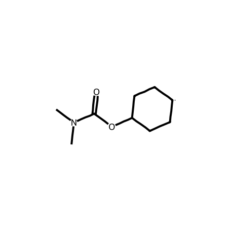 CN(C)C(=O)OC1CC[CH]CC1